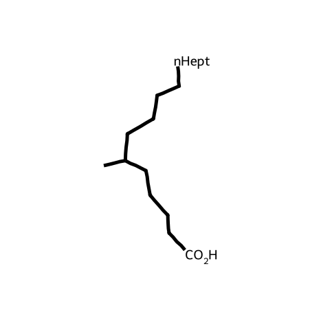 CCCCCCCCCCCC(C)CCCCC(=O)O